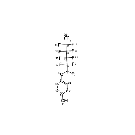 Oc1ccc(OC(F)C(F)(F)C(F)(F)C(F)(F)C(F)(F)C(F)(F)F)cc1